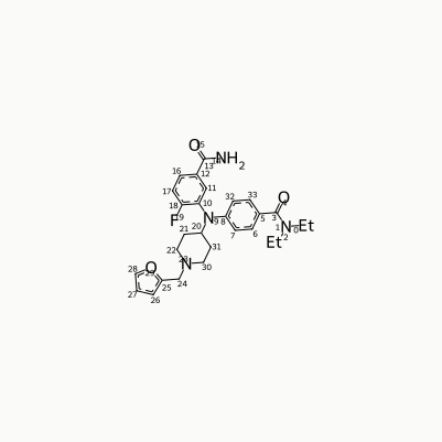 CCN(CC)C(=O)c1ccc(N(c2cc(C(N)=O)ccc2F)C2CCN(Cc3ccco3)CC2)cc1